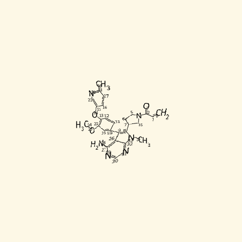 C=CC(=O)N1CCC(c2c(-c3ccc(Oc4ccc(C)nc4)c(OC)c3)c3c(N)ncnc3n2C)C1